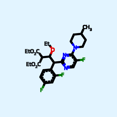 CCOC(=O)C(C(=O)OCC)C(OCC)C(c1ncc(F)c(N2CCC(C)CC2)n1)c1ccc(F)cc1F